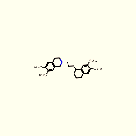 COc1cc2c(cc1OC)CN(CCCC1CCCc3cc(OC)c(OC)cc31)CC2